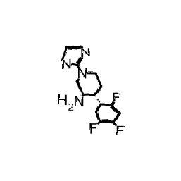 NC1CN(c2ncccn2)CC[C@@H]1C1CC(F)=C(F)C=C1F